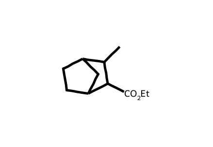 CCOC(=O)C1C2CCC(C2)C1C